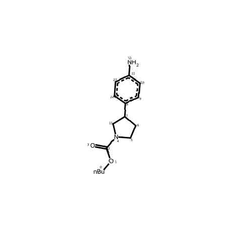 CCCCOC(=O)N1CCC(c2ccc(N)cc2)C1